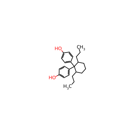 CCCC1CCCC(CCC)C1(c1ccc(O)cc1)c1ccc(O)cc1